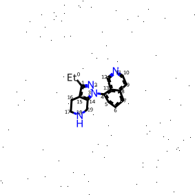 CCc1nn(-c2cccc3ccncc23)c2c1CCNC2